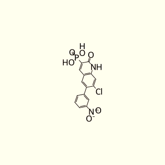 O=c1[nH]c2cc(Cl)c(-c3cccc([N+](=O)[O-])c3)cc2cc1P(=O)(O)O